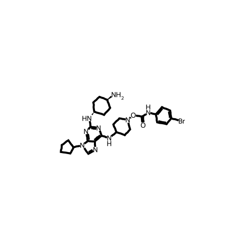 N[C@H]1CC[C@H](Nc2nc(NC3CCN(OC(=O)Nc4ccc(Br)cc4)CC3)c3ncn(C4CCCC4)c3n2)CC1